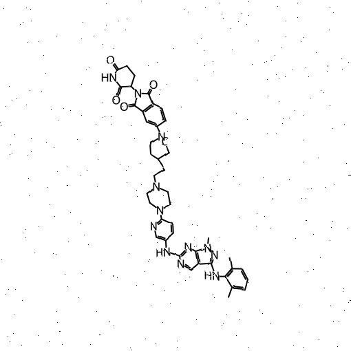 Cc1cccc(C)c1Nc1nn(C)c2nc(Nc3ccc(N4CCN(CCC5CCN(c6ccc7c(c6)C(=O)N(C6CCC(=O)NC6=O)C7=O)CC5)CC4)nc3)ncc12